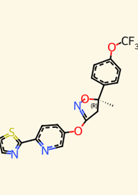 C[C@]1(c2ccc(OC(F)(F)F)cc2)CC(Oc2ccc(-c3nccs3)nc2)=NO1